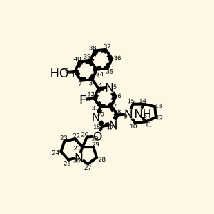 Oc1cc(-c2ncc3c(N4CC5CCC(C4)N5)nc(OCC45CCCCN4CCC5)nc3c2F)c2ccccc2c1